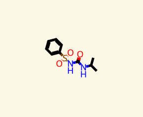 CC(C)NC(=O)NS(=O)(=O)c1ccccc1